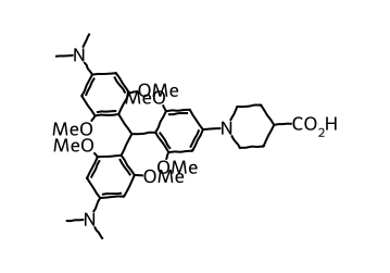 COc1cc(N(C)C)cc(OC)c1C(c1c(OC)cc(N(C)C)cc1OC)c1c(OC)cc(N2CCC(C(=O)O)CC2)cc1OC